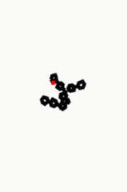 CC1(C)c2cc(N(c3ccc(C4CCCCC4)cc3)c3ccc(C4CC5CCC4C5)cc3)ccc2-c2c(-c3ccc(C4CCCCC4)cc3)cccc21